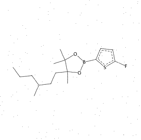 CCCC(C)CCC1(C)OB(c2ccc(F)s2)OC1(C)C